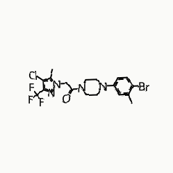 Cc1cc(N2CCN(C(=O)Cn3nc(C(F)(F)F)c(Cl)c3C)CC2)ccc1Br